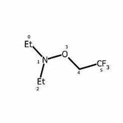 CCN(CC)OCC(F)(F)F